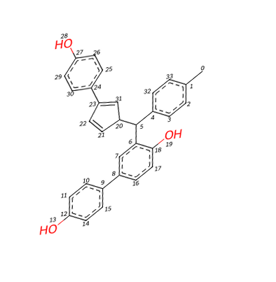 Cc1ccc(C(c2cc(-c3ccc(O)cc3)ccc2O)C2C=CC(c3ccc(O)cc3)=C2)cc1